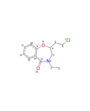 CCN1CC(CCCl)Oc2ccccc2C1=O